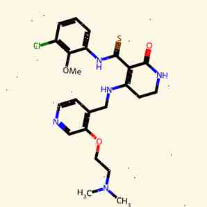 COc1c(Cl)cccc1NC(=S)C1=C(NCc2ccncc2OCCN(C)C)CCNC1=O